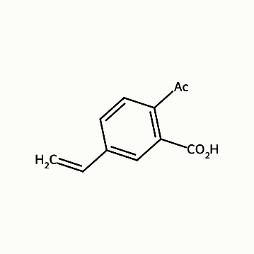 C=Cc1ccc(C(C)=O)c(C(=O)O)c1